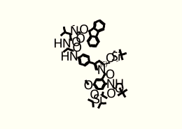 COc1cc(C(=O)N2C=C(c3ccc(NC(=O)C(C)NC(=O)C(C(C)C)N(C)C(=O)OC4c5ccccc5-c5ccccc54)cc3)C[C@H]2CO[Si](C)(C)C(C)(C)C)c(NC(=O)OC(C)(C)C)cc1O[Si](C(C)C)(C(C)C)C(C)C